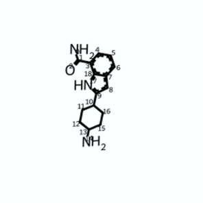 NC(=O)c1cccc2cc(C3CCC(N)CC3)[nH]c12